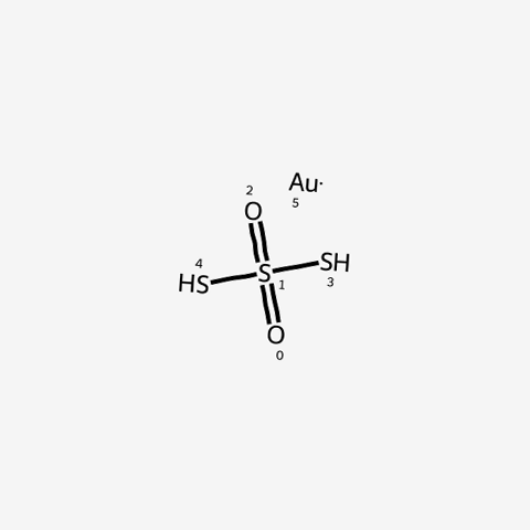 O=S(=O)(S)S.[Au]